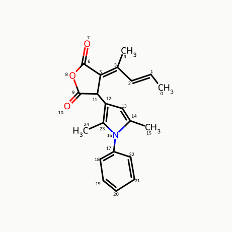 CC=C/C(C)=C1/C(=O)OC(=O)C1c1cc(C)n(-c2ccccc2)c1C